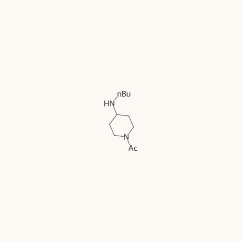 CCCCNC1CCN(C(C)=O)CC1